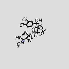 CO/N=c1\[nH]cnc2c1ncn2[C@@H]1O[C@H](C(C)(O)c2ccc(Cl)c(Cl)c2)[C@H]2OC(C)(C)O[C@H]21